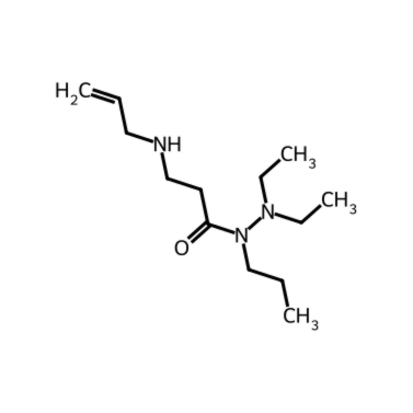 C=CCNCCC(=O)N(CCC)N(CC)CC